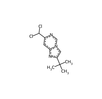 CC(C)(C)c1cn2cnc(C(Cl)Cl)cc2n1